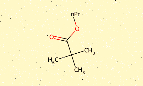 CCCOC(=O)C(C)(C)C